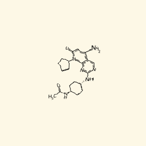 CC(=O)N[C@H]1CC[C@H](Nc2ncc3c(N)cc(=O)n(C4CCCC4)c3n2)CC1